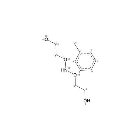 Cc1ccccc1.OCCONOCCO